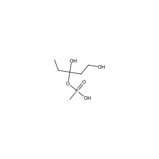 [CH2]P(=O)(O)OC(O)(CC)CCO